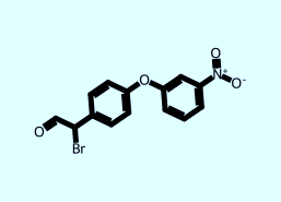 O=CC(Br)c1ccc(Oc2cccc([N+](=O)[O-])c2)cc1